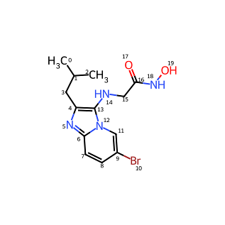 CC(C)Cc1nc2ccc(Br)cn2c1NCC(=O)NO